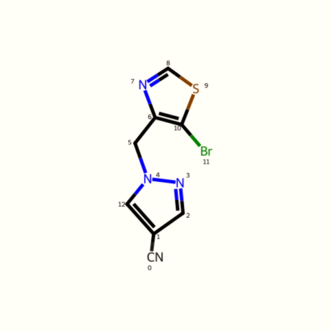 N#Cc1cnn(Cc2ncsc2Br)c1